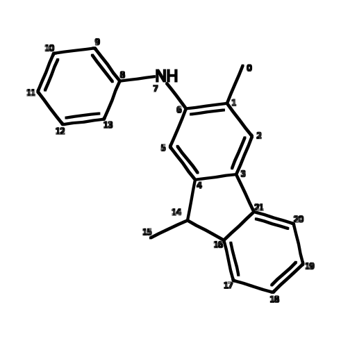 Cc1cc2c(cc1Nc1ccccc1)C(C)c1ccccc1-2